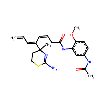 C=C/C=C(\C=C/CC(=O)Nc1cc(NC(C)=O)ccc1OC)C1(C)CCSC(N)=N1